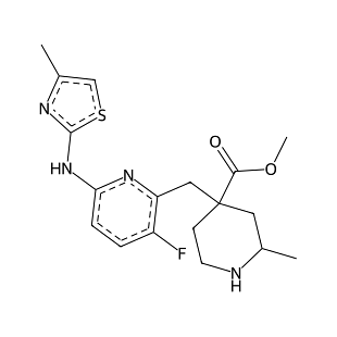 COC(=O)C1(Cc2nc(Nc3nc(C)cs3)ccc2F)CCNC(C)C1